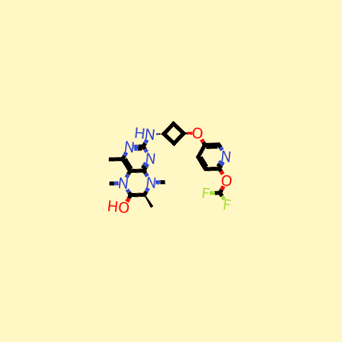 Cc1nc(N[C@H]2C[C@H](Oc3ccc(OC(F)F)nc3)C2)nc2c1N(C)C(O)[C@H](C)N2C